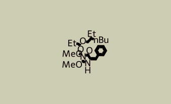 CCCCC(CC)COC(=O)CC.COC1N/C(=C/c2ccccc2)C(=O)N1OC